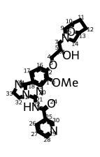 COc1c(OC[C@@H](O)CN2CC3CCC(C2)O3)ccc2c1N=C(NC(=O)c1cccnc1)N1CCN=C21